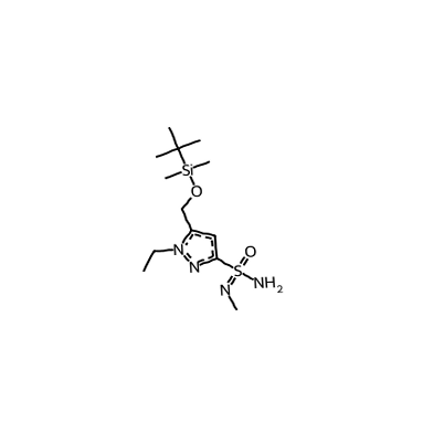 CCn1nc(S(N)(=O)=NC)cc1CO[Si](C)(C)C(C)(C)C